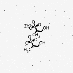 CC(CO)S(=O)(=O)[O-].CC(CO)S(=O)(=O)[O-].[Zn+2]